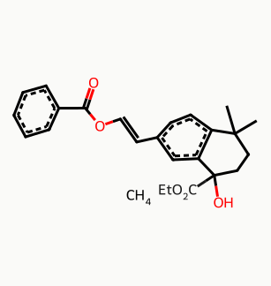 C.CCOC(=O)C1(O)CCC(C)(C)c2ccc(C=COC(=O)c3ccccc3)cc21